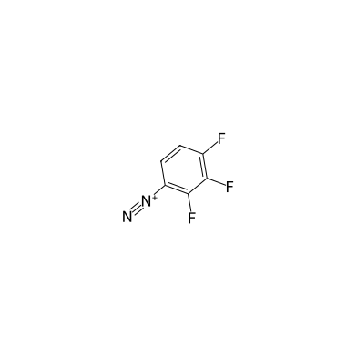 N#[N+]c1ccc(F)c(F)c1F